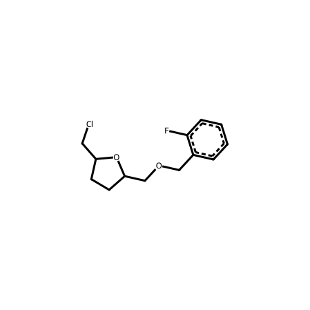 Fc1ccccc1COCC1CCC(CCl)O1